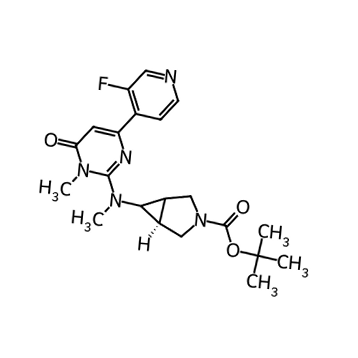 CN(c1nc(-c2ccncc2F)cc(=O)n1C)C1C2CN(C(=O)OC(C)(C)C)C[C@H]21